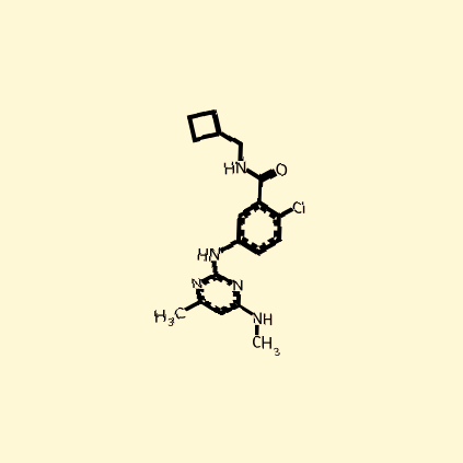 CNc1cc(C)nc(Nc2ccc(Cl)c(C(=O)NCC3CCC3)c2)n1